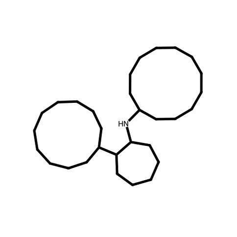 C1CCCCCC(NC2CCCCCC2C2CCCCCCCCCC2)CCCCC1